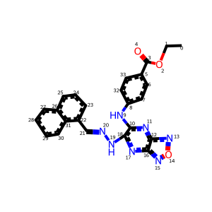 CCOC(=O)c1ccc(Nc2nc3nonc3nc2NN=Cc2cccc3ccccc23)cc1